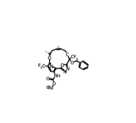 C[C@@H]1C/C=C\CCC(OCc2ccccc2)(C(F)(F)F)c2nnc(o2)-c2nc(c(C(F)(F)F)cc2NC(=O)OC(C)(C)C)O1